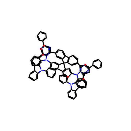 c1ccc(-c2nc(-c3ccccc3)nc(-c3ccc4c(c3)C3(c5cc(-c6nc(-c7ccccc7)nc(-c7ccccc7)n6)ccc5-4)c4cc(-n5c6ccccc6c6ccc7c8ccccc8n(-c8ccccc8)c7c65)ccc4-c4ccc(-n5c6ccccc6c6ccc7c8ccccc8n(-c8ccccc8)c7c65)cc43)n2)cc1